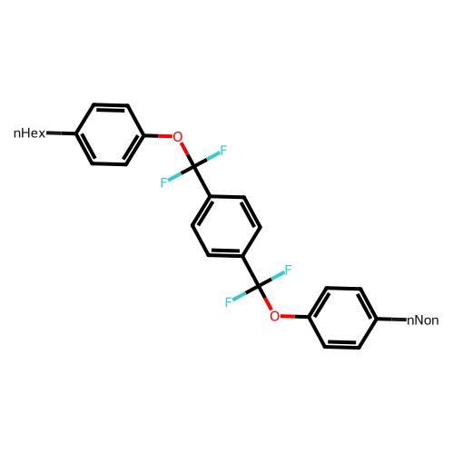 CCCCCCCCCc1ccc(OC(F)(F)c2ccc(C(F)(F)Oc3ccc(CCCCCC)cc3)cc2)cc1